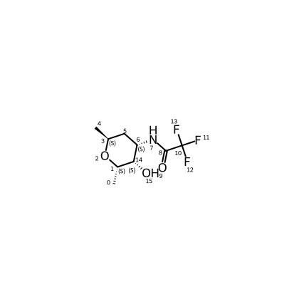 C[C@@H]1O[C@@H](C)C[C@H](NC(=O)C(F)(F)F)[C@@H]1O